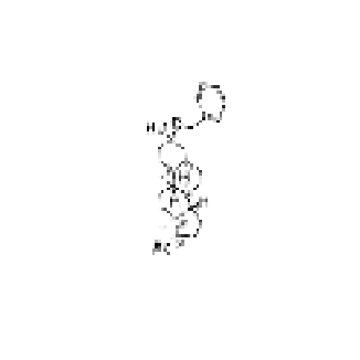 CC(=O)[C@H]1CC[C@H]2[C@@H]3CC=C4CC(O)(OCc5ccccc5)CC[C@]4(C)[C@H]3CC[C@]12C